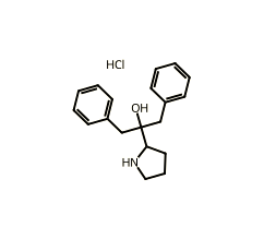 Cl.OC(Cc1ccccc1)(Cc1ccccc1)C1CCCN1